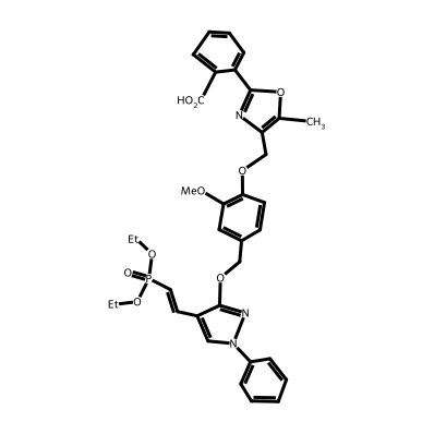 CCOP(=O)(C=Cc1cn(-c2ccccc2)nc1OCc1ccc(OCc2nc(-c3ccccc3C(=O)O)oc2C)c(OC)c1)OCC